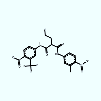 Cc1cc(NC(=O)C(CCCl)C(=O)Nc2ccc([N+](=O)[O-])c(C(F)(F)F)c2)ccc1[N+](=O)[O-]